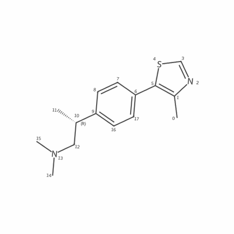 Cc1ncsc1-c1ccc([C@@H](C)CN(C)C)cc1